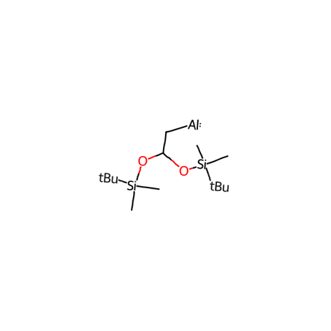 CC(C)(C)[Si](C)(C)OC([CH2][Al])O[Si](C)(C)C(C)(C)C